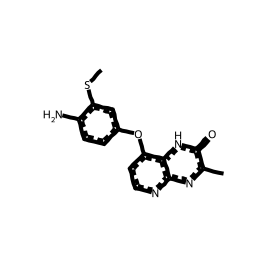 CSc1cc(Oc2ccnc3nc(C)c(=O)[nH]c23)ccc1N